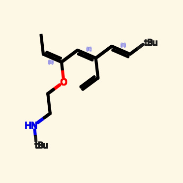 C=CC(/C=C/C(C)(C)C)=C\C(=C/C)OCCNC(C)(C)C